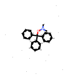 CN(C)OC(c1ccccc1)(c1ccccc1)c1ccccc1